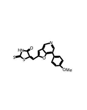 COc1ccc(-c2cncc3cc(/C=C4/SC(=S)NC4=O)oc23)cc1